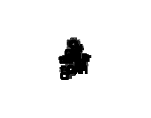 CC(C)(C)OC(=O)n1c(CNc2nc(Nc3ccc(F)c(Cl)c3)ncc2Br)nc2ccccc21